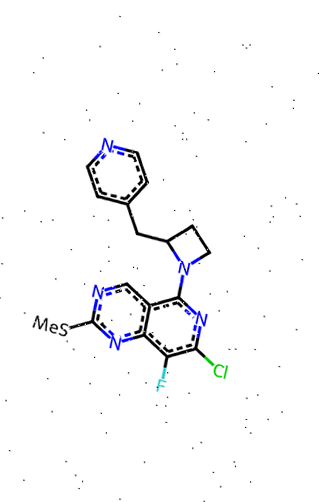 CSc1ncc2c(N3CCC3Cc3ccncc3)nc(Cl)c(F)c2n1